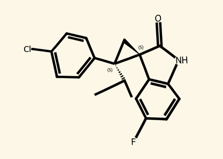 CC(C)[C@]1(c2ccc(Cl)cc2)C[C@]12C(=O)Nc1ccc(F)cc12